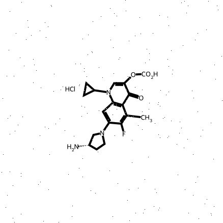 Cc1c(F)c(N2CC[C@H](N)C2)cc2c1c(=O)c(OC(=O)O)cn2C1CC1.Cl